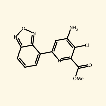 COC(=O)c1nc(-c2cccc3nonc23)cc(N)c1Cl